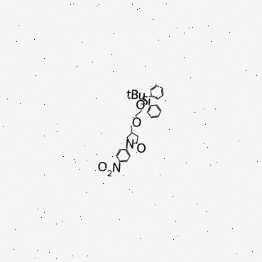 CC(C)(C)[Si](OCCOCC1CC(=O)N(c2ccc([N+](=O)[O-])cc2)C1)(c1ccccc1)c1ccccc1